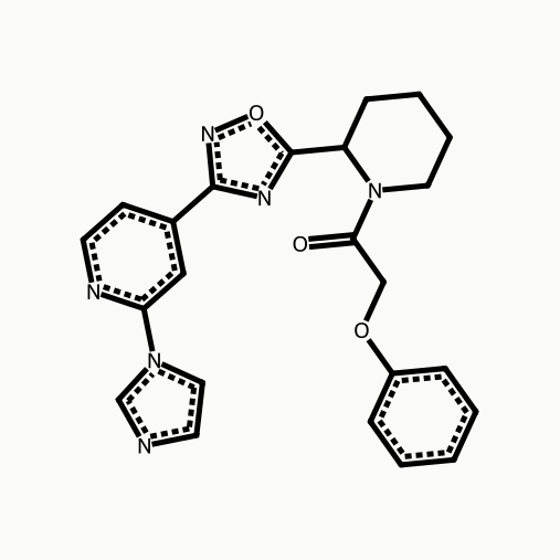 O=C(COc1ccccc1)N1CCCCC1c1nc(-c2ccnc(-n3ccnc3)c2)no1